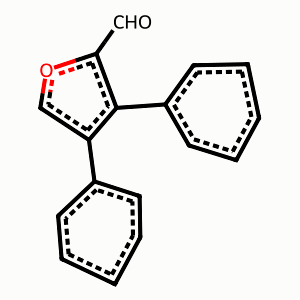 O=Cc1occ(-c2ccccc2)c1-c1ccccc1